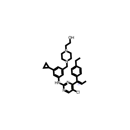 C/C=C(\c1ccc(CC)cc1)c1nc(Nc2cc(CN3CCN(CCO)CC3)cc(C3CC3)c2)ncc1Cl